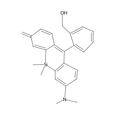 C=c1ccc2c(c1)[Si](C)(C)c1cc(N(C)C)ccc1C=2c1ccccc1CO